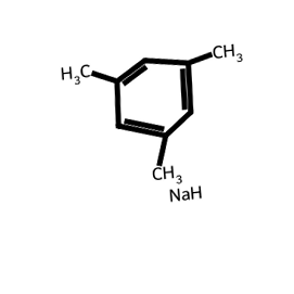 Cc1cc(C)cc(C)c1.[NaH]